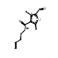 C=CCCNC(=O)c1c(C)[nH]c(C=O)c1C